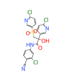 N#Cc1ccc(NC(=O)C(O)(CS(=O)(=O)c2ccc(Cl)nc2)c2ccc(Cl)nc2)cc1Cl